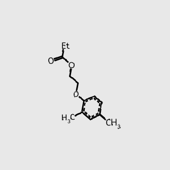 [CH2]CC(=O)OCCOc1ccc(C)cc1C